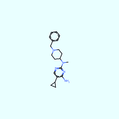 CN(c1ncc(C2CC2)c(N)n1)C1CCN(Cc2ccccc2)CC1